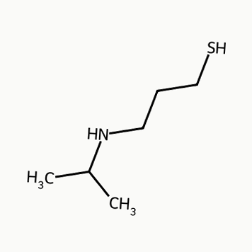 CC(C)NCCCS